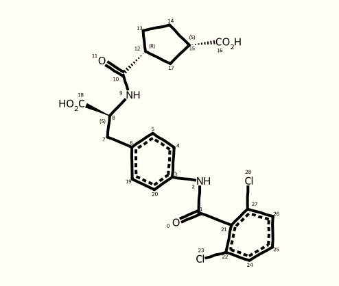 O=C(Nc1ccc(C[C@H](NC(=O)[C@@H]2CC[C@H](C(=O)O)C2)C(=O)O)cc1)c1c(Cl)cccc1Cl